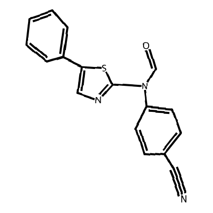 N#Cc1ccc(N(C=O)c2ncc(-c3ccccc3)s2)cc1